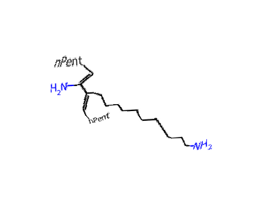 CCCCCC=C(N)C(=CCCCCC)CCCCCCCCCCN